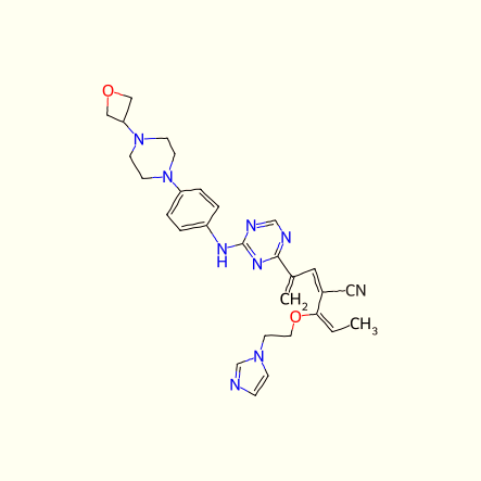 C=C(/C=C(C#N)\C(=C/C)OCCn1ccnc1)c1ncnc(Nc2ccc(N3CCN(C4COC4)CC3)cc2)n1